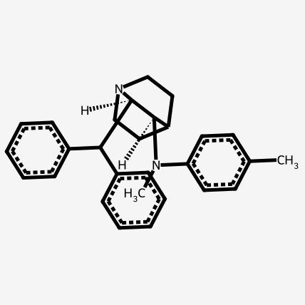 Cc1ccc(N(C)[C@@H]2C3CCN(CC3)[C@@H]2C(c2ccccc2)c2ccccc2)cc1